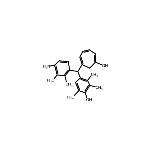 Cc1cc(C(C2=CC=CC=C(O)C2)c2ccc(N)c(C)c2C)c(C)c(C)c1O